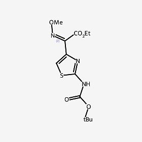 CCOC(=O)/C(=N\OC)c1csc(NC(=O)OC(C)(C)C)n1